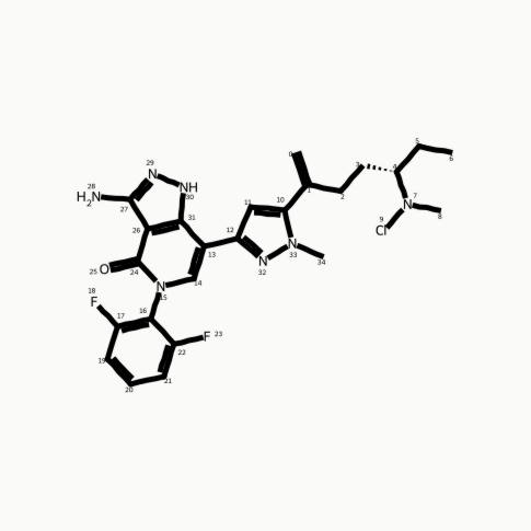 C=C(CC[C@H](CC)N(C)Cl)c1cc(-c2cn(-c3c(F)cccc3F)c(=O)c3c(N)n[nH]c23)nn1C